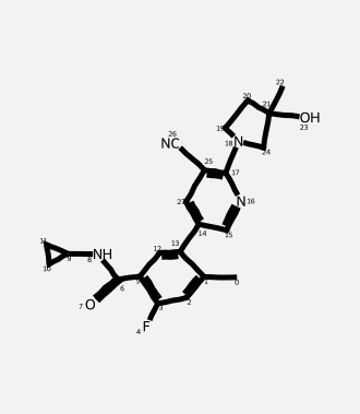 Cc1cc(F)c(C(=O)NC2CC2)cc1-c1cnc(N2CCC(C)(O)C2)c(C#N)c1